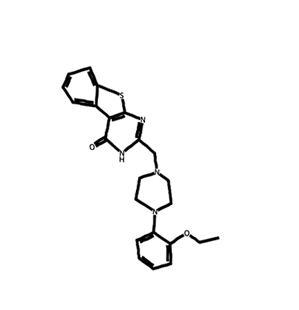 CCOc1ccccc1N1CCN(Cc2nc3sc4ccccc4c3c(=O)[nH]2)CC1